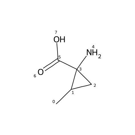 CC1CC1(N)C(=O)O